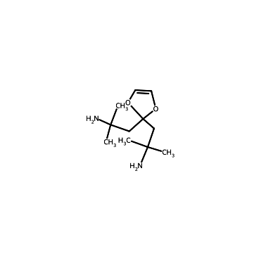 CC(C)(N)CC1(CC(C)(C)N)OC=CO1